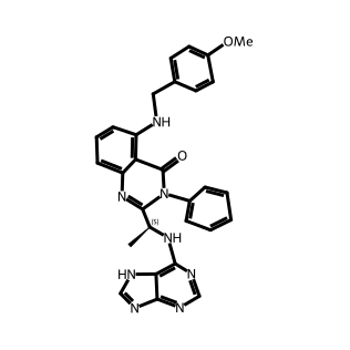 COc1ccc(CNc2cccc3nc([C@H](C)Nc4ncnc5nc[nH]c45)n(-c4ccccc4)c(=O)c23)cc1